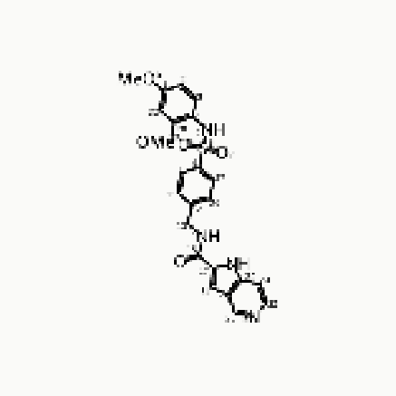 COc1ccc(NS(=O)(=O)c2ccc(CNC(=O)c3cc4cnccc4[nH]3)cc2)c(OC)c1